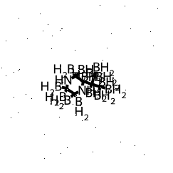 BC(B)(B)C(B)(C(B)(B)B)C1(B)NC(B)(B)C(B)(B)NC1(B)B